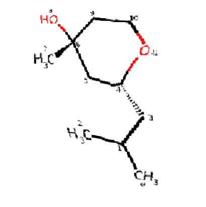 CC(C)C[C@@H]1C[C@](C)(O)CCO1